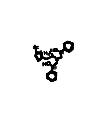 CC(=O)c1ccc(CC(C)N(C[C@H](O)c2ccccc2)C[C@H](O)c2ccccc2)s1